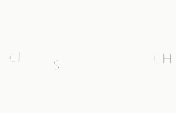 C#CCSCl